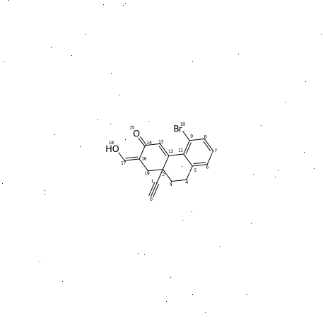 C#CC12CCc3cccc(Br)c3C1=CC(=O)C(=CO)C2